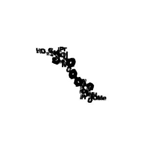 COC(=O)N[C@H](C(=O)N1CCC[C@H]1c1nc2cc(-c3ccc(Oc4cccc5[nH]c([C@@H]6CCCN6C(=O)[C@H](C(C)C)N(C)C(=O)O)nc45)cc3)ccc2[nH]1)C(C)C